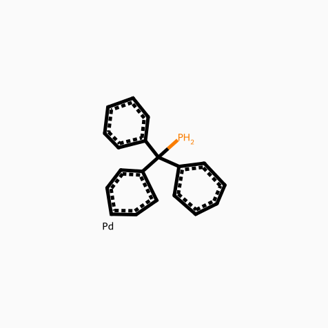 PC(c1ccccc1)(c1ccccc1)c1ccccc1.[Pd]